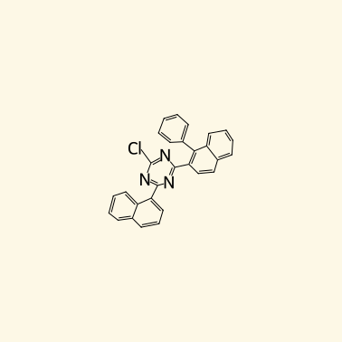 Clc1nc(-c2ccc3ccccc3c2-c2ccccc2)nc(-c2cccc3ccccc23)n1